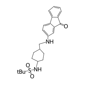 CC(C)(C)S(=O)(=O)NC1CCC(CNc2ccc3c(c2)C(=O)c2ccccc2-3)CC1